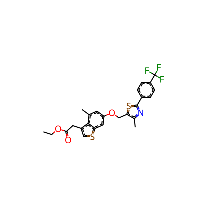 CCOC(=O)Cc1csc2cc(OCc3sc(-c4ccc(C(F)(F)F)cc4)nc3C)cc(C)c12